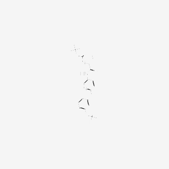 CC[C@@H](NC(=O)OC(C)(C)C)C(=O)Nc1ccc(Oc2ccc(C)c(OC(F)(F)F)c2)nc1